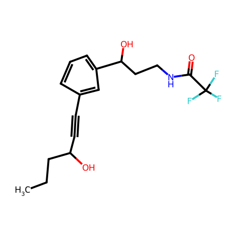 CCCC(O)C#Cc1cccc(C(O)CCNC(=O)C(F)(F)F)c1